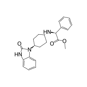 COC(=O)[C@@H](N[C@H]1CC[C@H](n2c(=O)[nH]c3ccccc32)CC1)c1ccccc1